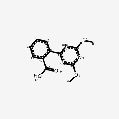 COc1nc(OC)nc(-c2ccccc2C(=O)O)n1